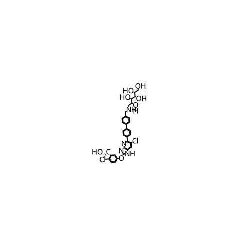 O=C(O)c1cc(Oc2nc3nc(-c4ccc(-c5ccc(CNCC(O)C(O)C(O)C(O)CO)cc5)cc4)c(Cl)cc3[nH]2)ccc1Cl